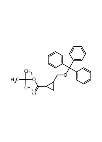 CC(C)(C)OC(=O)C1CC1COC(c1ccccc1)(c1ccccc1)c1ccccc1